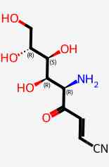 N#CC=CC(=O)[C@H](N)[C@@H](O)[C@H](O)[C@H](O)CO